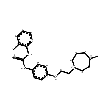 Cc1cccnc1SC(=N)Oc1ccc(OCCN2CCCN(C)CC2)cc1